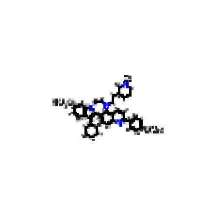 CCN1CCCC(CCN2CCn3c(c(C4CCCCC4)c4ccc(C(=O)O)cc43)-c3ccc4nc(-c5ccc(OC)cc5)ccc4c32)C1